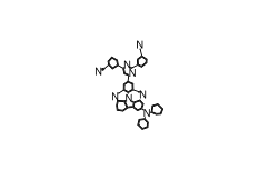 N#Cc1cccc(-c2cc(-c3cc(C#N)c(-n4c5ccccc5c5cc(N(c6ccccc6)c6ccccc6)ccc54)c(C#N)c3)nc(-c3cccc(C#N)c3)n2)c1